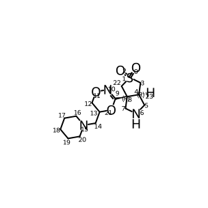 O=S1(=O)C[C@H]2CNC[C@]2(C2=NOCC(CN3CCCCC3)O2)C1